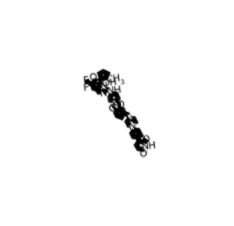 CC1(O)CCCC1n1c(=O)c(C(F)F)cc2cnc(NC3CCN(S(=O)(=O)c4cccc(CN5CCN(c6ccc(C7CCC(=O)NC7=O)cc6)CC5)c4)CC3)nc21